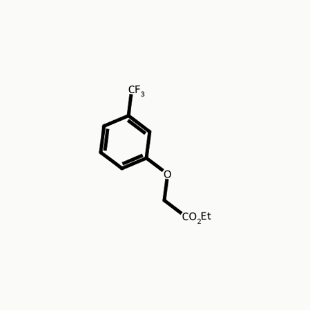 CCOC(=O)COc1cccc(C(F)(F)F)c1